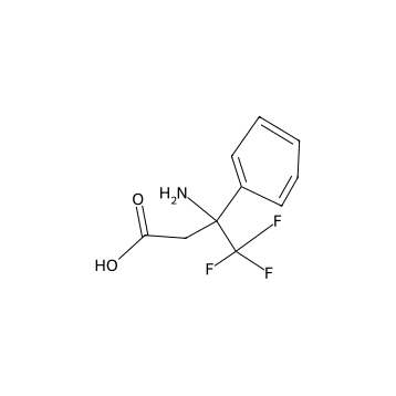 NC(CC(=O)O)(c1ccccc1)C(F)(F)F